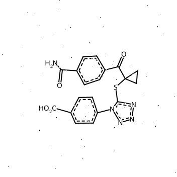 NC(=O)c1ccc(C(=O)C2(Sc3nnnn3-c3ccc(C(=O)O)cc3)CC2)cc1